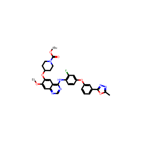 CCOc1cc2ncnc(Nc3ccc(Oc4cccc(-c5nnc(C)o5)c4)cc3F)c2cc1OC1CCN(C(=O)OC(C)(C)C)CC1